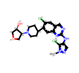 Cn1ncc(Nc2ncc3cc(Cl)c(C4CCN([C@H]5COC[C@H]5O)CC4)cc3n2)c1Cl